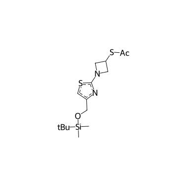 CC(=O)SC1CN(c2nc(CO[Si](C)(C)C(C)(C)C)cs2)C1